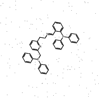 C(=N\CCc1cccc(CP(c2ccccc2)c2ccccc2)n1)/c1ccccc1P(c1ccccc1)c1ccccc1